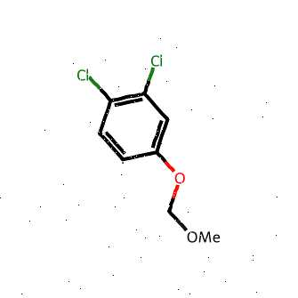 COCOc1[c]cc(Cl)c(Cl)c1